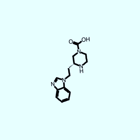 O=C(O)N1CCN[C@H](CCn2cnc3ccccc32)C1